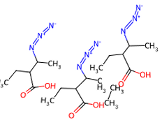 CC.CCC(C(=O)O)C(C)N=[N+]=[N-].CCC(C(=O)O)C(C)N=[N+]=[N-].CCC(C(=O)O)C(C)N=[N+]=[N-]